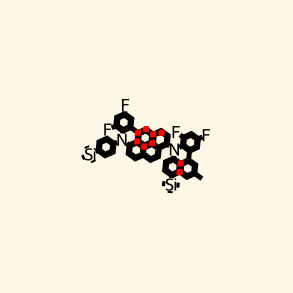 Cc1cccc(-c2cc(F)cc(F)c2N(c2ccc([Si](C)(C)C)cc2)c2ccc3ccc4c(N(c5ccc([Si](C)(C)C)cc5)c5c(F)cc(F)cc5-c5cccc(C)c5)ccc5ccc2c3c54)c1